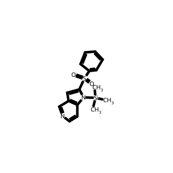 C[Si](C)(C)n1c(S(=O)(=O)c2ccccc2)cc2cnccc21